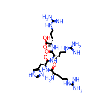 N=C(N)NCCC[C@H](NC(=O)[C@H](CCCNC(=N)N)NC(=O)[C@H](Cc1c[nH]cn1)NC(=O)[C@@H](N)CCCNC(=N)N)C(=O)O